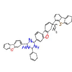 CC1(c2cccc3c2sc2ccccc23)C=Cc2c(oc3cc(C4=NC(c5ccc6c(c5)oc5ccccc56)NC(C5=CC=CCC5)N4)ccc23)C1